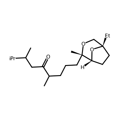 CC[C@@]12CC[C@@H](O1)[C@](C)(CCCC(C)C(=O)CC(C)C(C)C)OC2